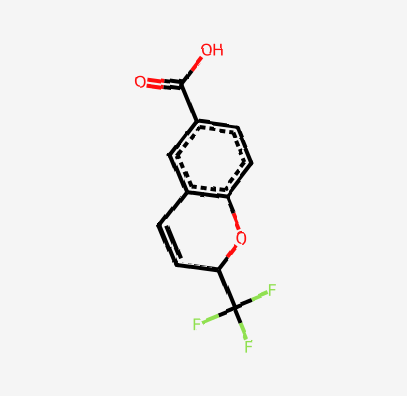 O=C(O)c1ccc2c(c1)C=CC(C(F)(F)F)O2